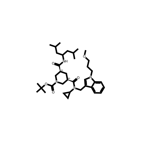 COCCCn1cc(CN(C(=O)[C@@H]2C[C@H](C(=O)NC(CC(C)C)CC(C)C)CN(C(=O)OC(C)(C)C)C2)C2CC2)c2ccccc21